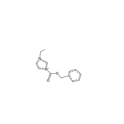 CCn1cc[n+](C(=O)OCc2ccccc2)c1